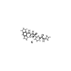 O=C(Nc1c2c(cc3c1CCC3)CCC2)NS(=O)(=O)C1CCCN(C(=O)NC2CCC2)C1.[K]